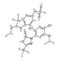 CC(C)Oc1cc(-n2nc(C(C)(C)C)oc2=O)c(Cl)cc1Cl.CCOC1Oc2ccc(OS(C)(=O)=O)cc2C1(C)C